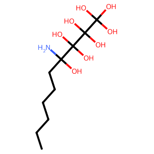 CCCCCCC(N)(O)C(O)(O)C(O)(O)C(O)(O)O